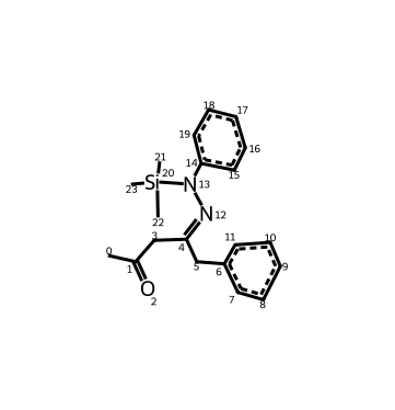 CC(=O)CC(Cc1ccccc1)=NN(c1ccccc1)[Si](C)(C)C